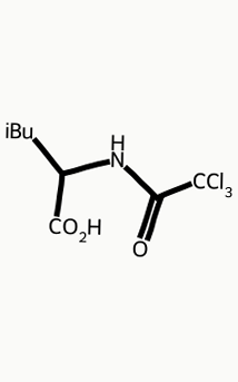 CCC(C)C(NC(=O)C(Cl)(Cl)Cl)C(=O)O